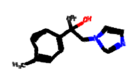 CCCC(O)(Cn1ccnc1)c1ccc(C)cc1